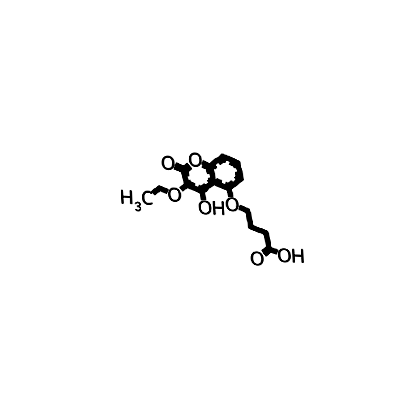 CCOc1c(O)c2c(OCCCC(=O)O)cccc2oc1=O